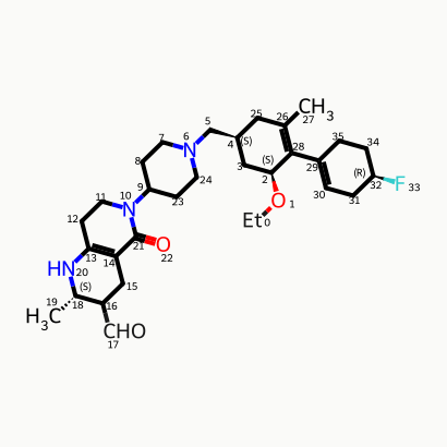 CCO[C@H]1C[C@@H](CN2CCC(N3CCC4=C(CC(C=O)[C@H](C)N4)C3=O)CC2)CC(C)=C1C1=CC[C@H](F)CC1